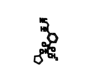 CN(OC1CCCC1)S(=O)(=O)c1cccc(NCC#N)c1